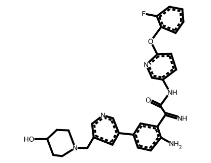 N=C(C(=O)Nc1ccc(Oc2ccccc2F)nc1)c1cc(-c2cncc(CN3CCC(O)CC3)c2)ccc1N